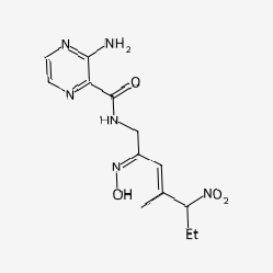 CCC(C(C)=CC(CNC(=O)c1nccnc1N)=NO)[N+](=O)[O-]